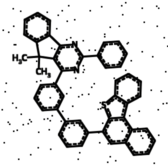 CC1(C)c2ccccc2-c2nc(-c3ccccc3)nc(-c3cccc(-c4cccc(-c5cc6ccccc6c6c5sc5ccccc56)c4)c3)c21